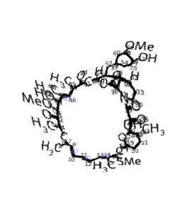 CO[C@@H]1C(=O)[C@H](C)C[C@H](C)/C=C/C=C/C=C(\C)[C@@H](SC)C[C@@H]2CC[C@@H](C)[C@@](O)(O2)C(=O)C(=O)N2CC[C@H]3C[C@H]2C(=O)O[C@@H](CC(=O)[C@H](C)/C=C(\C)[C@H]1O)C3C[C@@H]1CC[C@H](O)[C@H](OC)C1